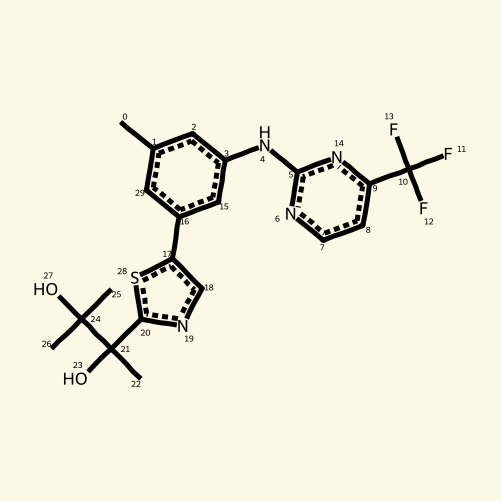 Cc1cc(Nc2nccc(C(F)(F)F)n2)cc(-c2cnc(C(C)(O)C(C)(C)O)s2)c1